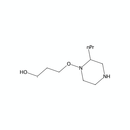 CCCC1CNCCN1OCC[CH]O